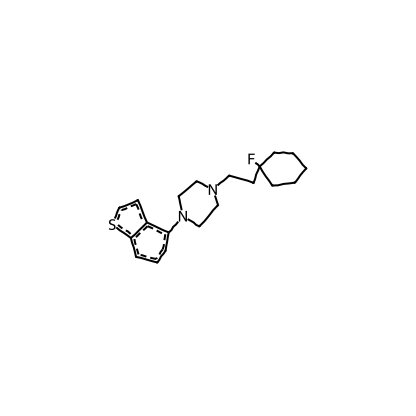 FC1(CCN2CCN(c3cccc4sccc34)CC2)CCCCC1